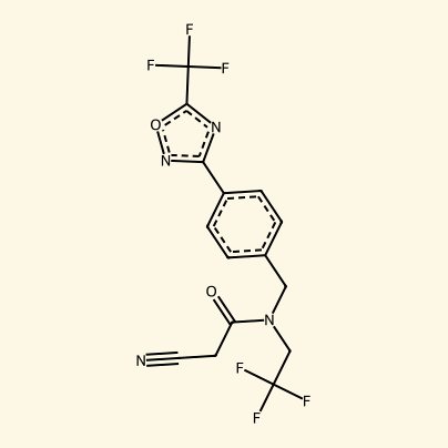 N#CCC(=O)N(Cc1ccc(-c2noc(C(F)(F)F)n2)cc1)CC(F)(F)F